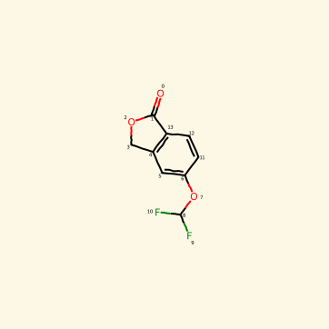 O=C1OCc2cc(OC(F)F)ccc21